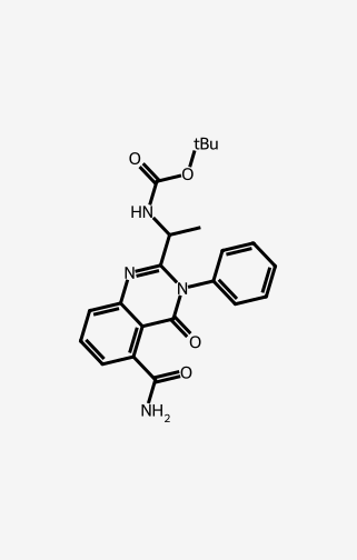 CC(NC(=O)OC(C)(C)C)c1nc2cccc(C(N)=O)c2c(=O)n1-c1ccccc1